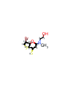 CN(CCO)c1cc(=S)c2scc(Br)c2o1